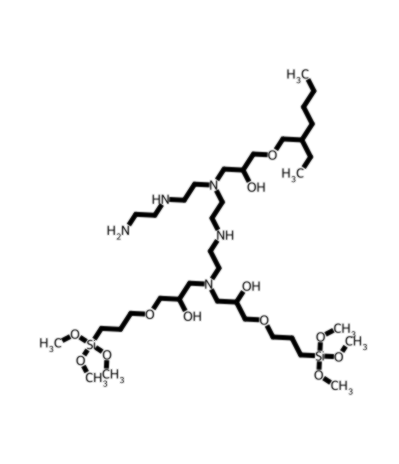 CCCCC(CC)COCC(O)CN(CCNCCN)CCNCCN(CC(O)COCCC[Si](OC)(OC)OC)CC(O)COCCC[Si](OC)(OC)OC